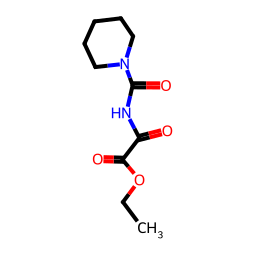 CCOC(=O)C(=O)NC(=O)N1CCCCC1